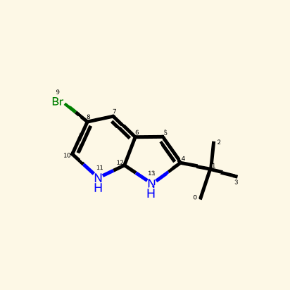 CC(C)(C)C1=CC2=CC(Br)=CNC2N1